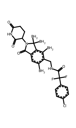 Bc1cc2c(c(B)c1CNC(=O)C(F)(F)c1ccc(Cl)cc1)C(B)(B)N(C1CCC(=O)NC1=O)C2=O